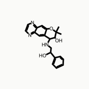 CC1(C)Oc2cc3nccnc3cc2C(NCC(O)c2ccccc2)C1O